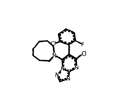 Fc1cccc(Cl)c1-c1c(Cl)nc2ncnn2c1N1CCCCCCC1